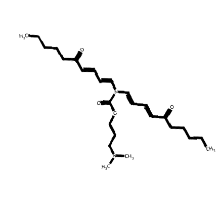 CCCCCC(=O)C=CC=CN(C=CC=CC(=O)CCCCC)C(=O)OCCCN(C)C